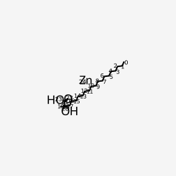 CCCCCCCCCCCCCCCCCCC(C)(O)C(=O)O.[Zn]